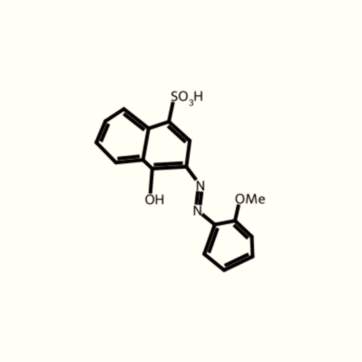 COc1ccccc1N=Nc1cc(S(=O)(=O)O)c2ccccc2c1O